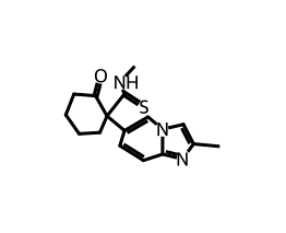 CNC(=S)C1(c2ccc3nc(C)cn3c2)CCCCC1=O